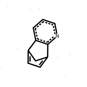 C1=C2CC(=C1)c1ncccc12